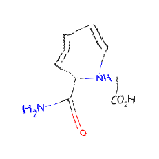 CC(=O)O.NC(=O)C1C=CC=CN1